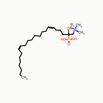 CCCCCCC/C=C\CCCCCCC/C=C\CCCC(O)(C[N+](C)(C)C)P(=O)(O)O